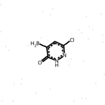 Bc1cc(Cl)n[nH]c1=O